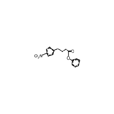 O=C(CCCc1ccc([N+](=O)[O-])cc1)Oc1ccccc1